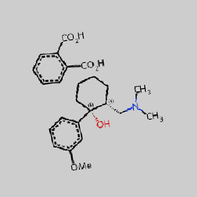 COc1cccc([C@@]2(O)CCCC[C@@H]2CN(C)C)c1.O=C(O)c1ccccc1C(=O)O